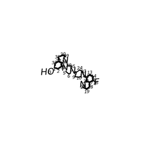 Oc1cc(N2CCN(C3CCN(c4ccc(F)c5cccnc45)CC3)CC2)c2ncccc2c1